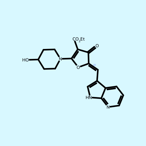 CCOC(=O)C1=C(N2CCC(O)CC2)O/C(=C\c2c[nH]c3ncccc23)C1=O